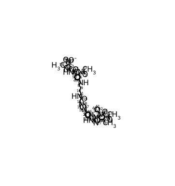 CC(=O)Nc1cc(NCCCCNC(=O)CN2CCN(c3ccc(Nc4ncc5c(C)c(C(C)=O)c(=O)n(C6CCCC6)c5n4)nc3)CC2)ccc1C(=O)Nc1nc(C)c([N+](=O)[O-])s1